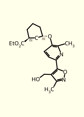 CCOC(=O)[C@H]1CCC[C@H](Oc2ccc(-c3onc(C)c3CO)nc2C)C1